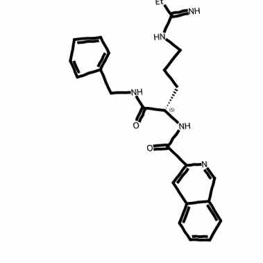 CCC(=N)NCCC[C@H](NC(=O)c1cc2ccccc2cn1)C(=O)NCc1ccccc1